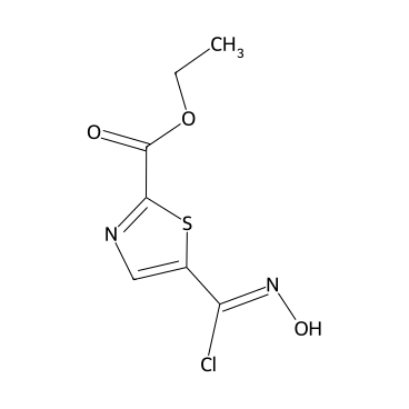 CCOC(=O)c1ncc(/C(Cl)=N/O)s1